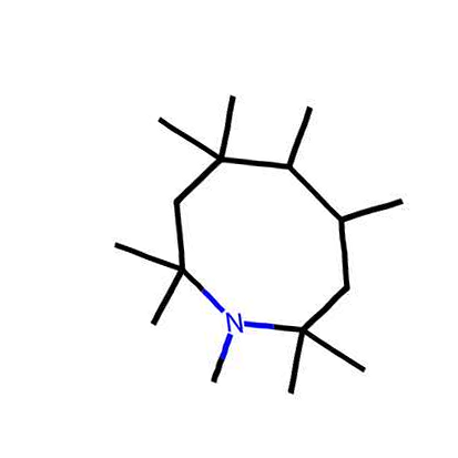 CC1CC(C)(C)N(C)C(C)(C)CC(C)(C)C1C